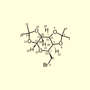 CC1(C)O[C@H]2[C@@H](O1)[C@@H](CBr)O[C@@H]1OC(C)(C)O[C@@H]12